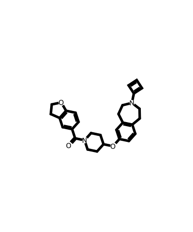 O=C(c1ccc2c(c1)CCO2)N1CCC(Oc2ccc3c(c2)CCN(C2=CC=C2)CC3)CC1